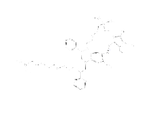 Cc1cc(N(CC(OCCOCCOCCN(C)C)c2ccccc2)CC(OCCOCC[N+](C)(C)C)c2ccccc2)ccc1/N=N/c1sc(C#N)c(C)c1C#N